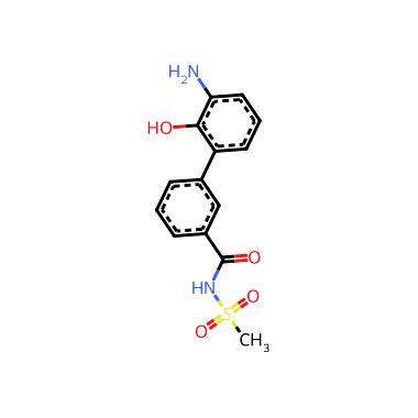 CS(=O)(=O)NC(=O)c1cccc(-c2cccc(N)c2O)c1